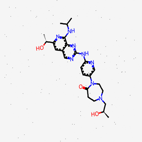 CC(C)Nc1nc([C@@H](C)O)cc2cnc(Nc3ccc(N4CCN(C[C@@H](C)O)CCC4=O)cn3)nc12